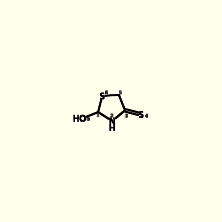 OC1NC(=S)CS1